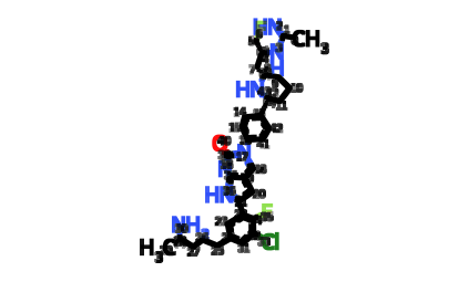 CC(=N)N[C@H](CF)C[C@@H]1CCC[C@@H](c2ccc(-n3cc4cc(-c5cc(CCC[C@H](C)N)cc(Cl)c5F)[nH]c4nc3=O)cc2)N1